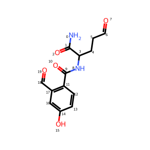 NC(=O)C(CCC=O)NC(=O)c1ccc(O)cc1C=O